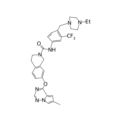 CCN1CCN(Cc2ccc(NC(=O)N3CCc4ccc(Oc5ncnn6cc(C)cc56)cc4C3)cc2C(F)(F)F)CC1